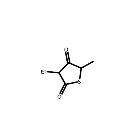 CCC1C(=O)SC(C)C1=O